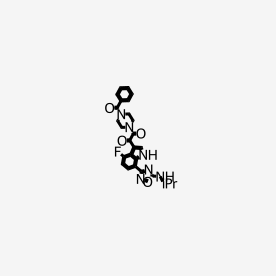 CC(C)Nc1nc(-c2ccc(F)c3c(C(=O)C(=O)N4CCN(C(=O)c5ccccc5)CC4)c[nH]c23)no1